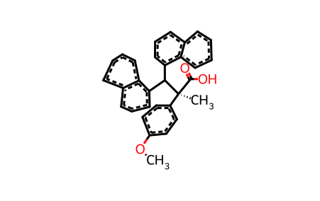 COc1ccc([C@](C)(C(=O)O)C(c2cccc3ccccc23)c2cccc3ccccc23)cc1